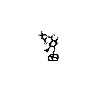 O=C(O)C1CC(F)(F)CN1C(=O)c1cc(C2CC2)c(OCC23CC4CC(CC(C4)C2)C3)cc1F